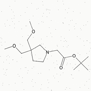 COCC1(COC)CCN(CC(=O)OC(C)(C)C)C1